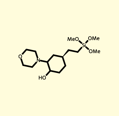 CO[Si](CC[C@H]1CCC(O)C(N2CCOCC2)C1)(OC)OC